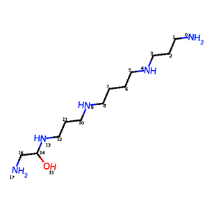 NCCCNCCCCNCCCNC(O)CN